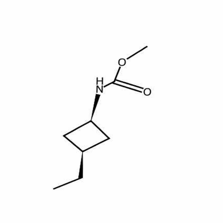 CC[C@H]1C[C@@H](NC(=O)OC)C1